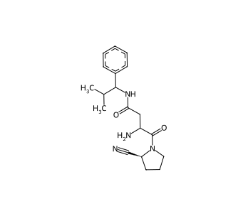 CC(C)C(NC(=O)CC(N)C(=O)N1CCC[C@H]1C#N)c1ccccc1